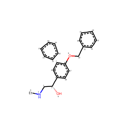 CCNC[C@@H](O)c1ccc(OCc2ccccc2)cc1.c1ccccc1